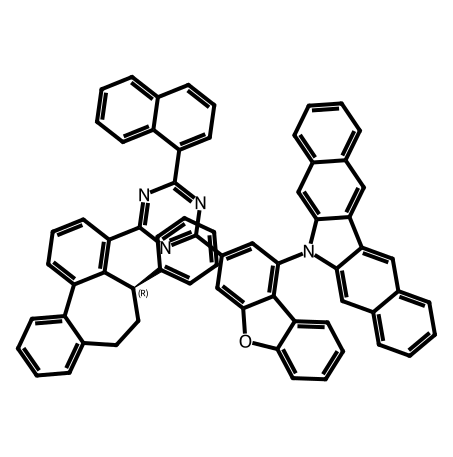 c1ccc([C@H]2CCc3ccccc3-c3cccc(-c4nc(-c5cc(-n6c7cc8ccccc8cc7c7cc8ccccc8cc76)c6c(c5)oc5ccccc56)nc(-c5cccc6ccccc56)n4)c32)cc1